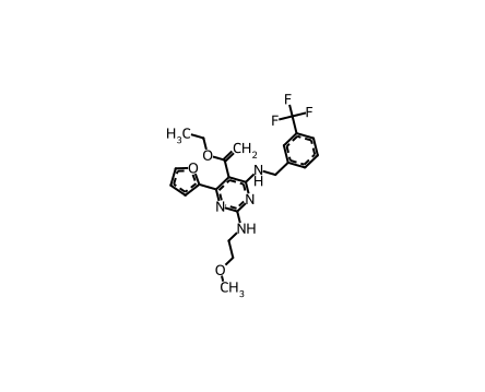 C=C(OCC)c1c(NCc2cccc(C(F)(F)F)c2)nc(NCCOC)nc1-c1ccco1